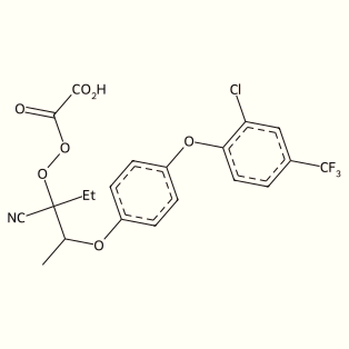 CCC(C#N)(OOC(=O)C(=O)O)C(C)Oc1ccc(Oc2ccc(C(F)(F)F)cc2Cl)cc1